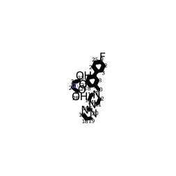 Fc1ccc(-c2cccc(CN3CCN(c4ncccn4)CC3)c2)cc1.O=C(O)/C=C\C(=O)O